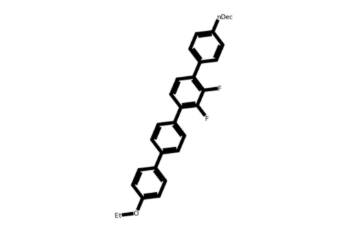 CCCCCCCCCCc1ccc(-c2ccc(-c3ccc(-c4ccc(OCC)cc4)cc3)c(F)c2F)cc1